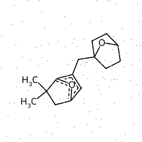 CC1(C)Cc2cc(CC34CCC(CC3)O4)c1o2